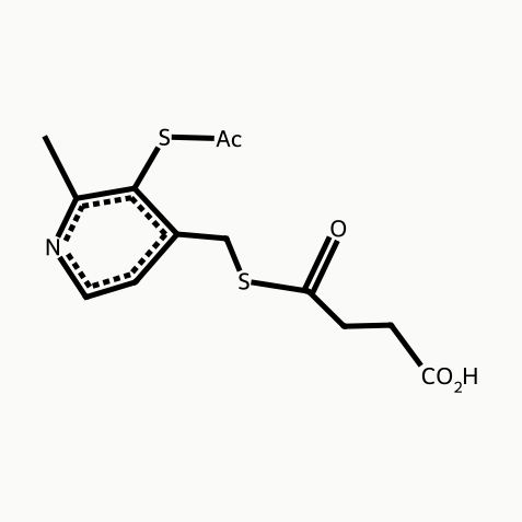 CC(=O)Sc1c(CSC(=O)CCC(=O)O)ccnc1C